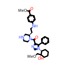 COC[C@]1(O)CCCC[C@H]1n1cnc(C(=O)N2CCNC[C@H]2CCNc2ccc(C(=O)OC)cc2)c1-c1ccccc1